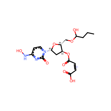 CCCC(O)OC[C@H]1O[C@@H](n2ccc(NO)nc2=O)C[C@@H]1OC(=O)/C=C\C(=O)O